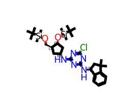 CC1(C)C[C@H](Nc2nc(Cl)nc(N[C@@H]3C[C@@H](CO[Si](C)(C)C(C)(C)C)[C@@H](O[Si](C)(C)C(C)(C)C)C3)n2)c2ccccc21